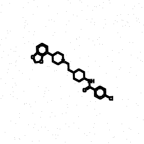 O=C(NC1CCC(CCN2CCC(c3cccc4c3OCO4)CC2)CC1)c1ccc(Cl)cc1